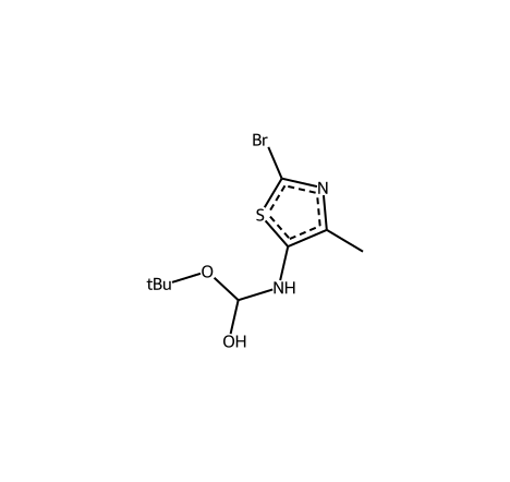 Cc1nc(Br)sc1NC(O)OC(C)(C)C